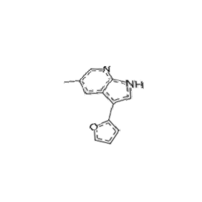 Cc1cnc2[nH]cc(-c3ccco3)c2c1